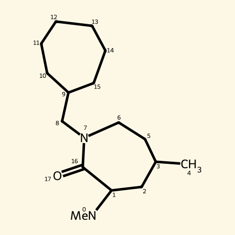 CNC1CC(C)CCN(CC2CCCCCC2)C1=O